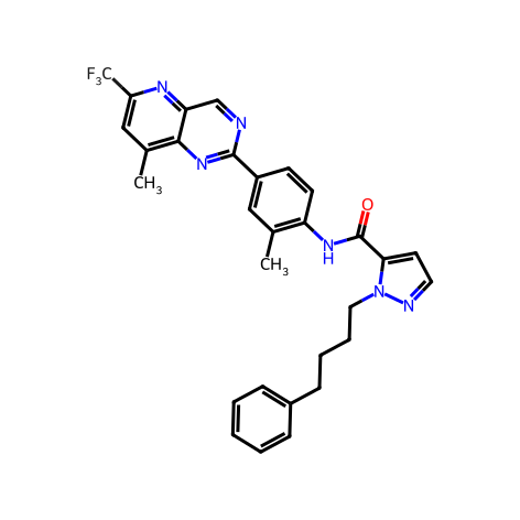 Cc1cc(-c2ncc3nc(C(F)(F)F)cc(C)c3n2)ccc1NC(=O)c1ccnn1CCCCc1ccccc1